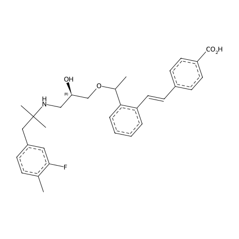 Cc1ccc(CC(C)(C)NC[C@@H](O)COC(C)c2ccccc2C=Cc2ccc(C(=O)O)cc2)cc1F